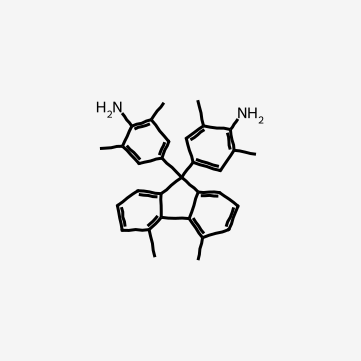 Cc1cc(C2(c3cc(C)c(N)c(C)c3)c3cccc(C)c3-c3c(C)cccc32)cc(C)c1N